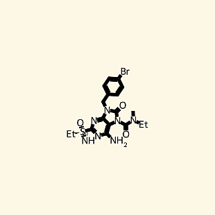 CCN(C)C(=O)n1c(=O)n(Cc2ccc(Br)cc2)c2nc([S@@](=N)(=O)CC)nc(N)c21